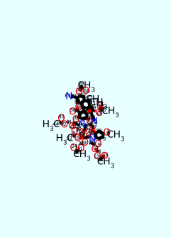 COc1ccc(N(CC(=O)OCOC(C)=O)CC(=O)OCOC(C)=O)c(OCCOc2cc3c(cc2N(CC(=O)OCOC(C)=O)CC(=O)OCOC(C)=O)C(=O)OC32c3cc(C#N)c(OC(C)=O)cc3C(C)(C)c3cc(OC(C)=O)c(C#N)cc32)c1